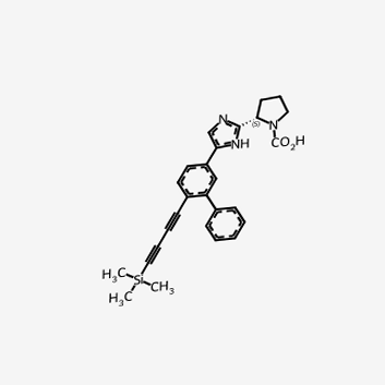 C[Si](C)(C)C#CC#Cc1ccc(-c2cnc([C@@H]3CCCN3C(=O)O)[nH]2)cc1-c1ccccc1